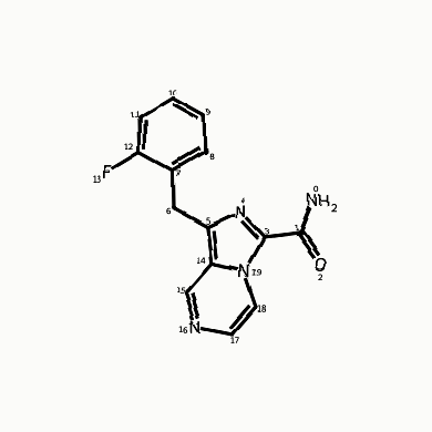 NC(=O)c1nc(Cc2ccccc2F)c2cnccn12